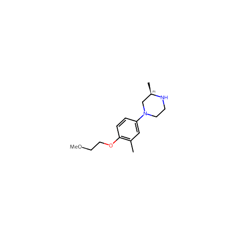 COCCOc1ccc(N2CCN[C@H](C)C2)cc1C